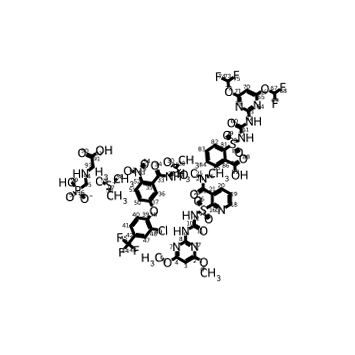 COc1cc(OC)nc(NC(=O)NS(=O)(=O)c2ncccc2C(=O)N(C)C)n1.CS(=O)(=O)NC(=O)c1cc(Oc2ccc(C(F)(F)F)cc2Cl)ccc1[N+](=O)[O-].C[S+](C)C.O=C(Nc1nc(OC(F)F)cc(OC(F)F)n1)NS(=O)(=O)c1ccccc1C(=O)O.O=C(O)CNCP(=O)([O-])O